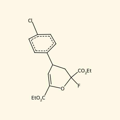 CCOC(=O)C1=CC(c2ccc(Cl)cc2)CC(F)(C(=O)OCC)O1